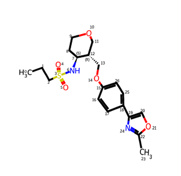 CCCS(=O)(=O)N[C@H]1CCOC[C@@H]1COc1ccc(-c2coc(C)n2)cc1